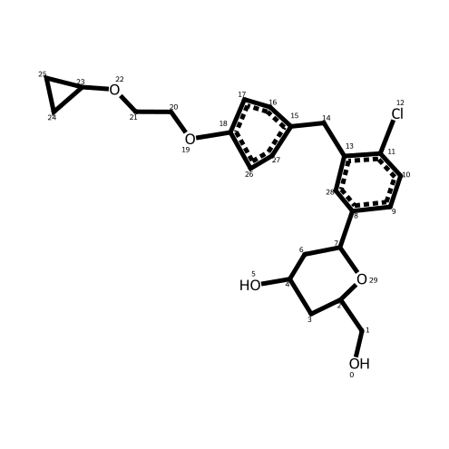 OCC1CC(O)CC(c2ccc(Cl)c(Cc3ccc(OCCOC4CC4)cc3)c2)O1